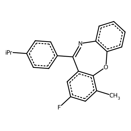 Cc1cc(F)cc2c1Oc1ccccc1N=C2c1ccc(C(C)C)cc1